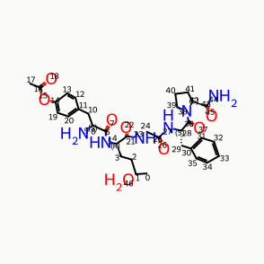 CCCC[C@@H](NC(=O)[C@@H](N)Cc1ccc(OC(C)=O)cc1)C(=O)NCC(=O)N[C@@H](Cc1ccccc1)C(=O)N1CCC[C@H]1C(N)=O.O